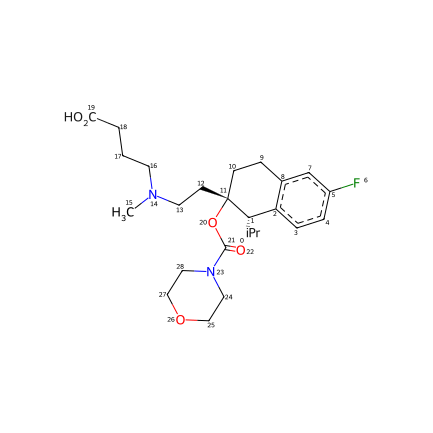 CC(C)[C@H]1c2ccc(F)cc2CC[C@@]1(CCN(C)CCCC(=O)O)OC(=O)N1CCOCC1